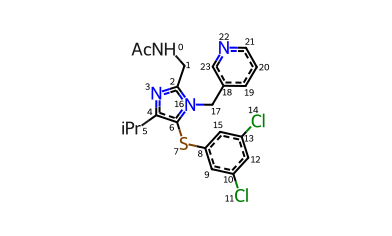 CC(=O)NCc1nc(C(C)C)c(Sc2cc(Cl)cc(Cl)c2)n1Cc1cccnc1